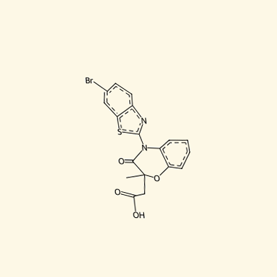 CC1(CC(=O)O)Oc2ccccc2N(c2nc3ccc(Br)cc3s2)C1=O